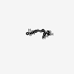 CCSNc1ccc(Oc2cccc(OCCOC3CCN(c4ncc(C(=O)NC5CCCCC5)cn4)CC3)c2)c(-c2cn(C)c(=O)c3[nH]ccc23)c1